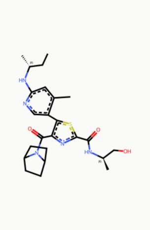 CC[C@@H](C)Nc1cc(C)c(-c2sc(C(=O)N[C@H](C)CO)nc2C(=O)N2C3CCC2CC3)cn1